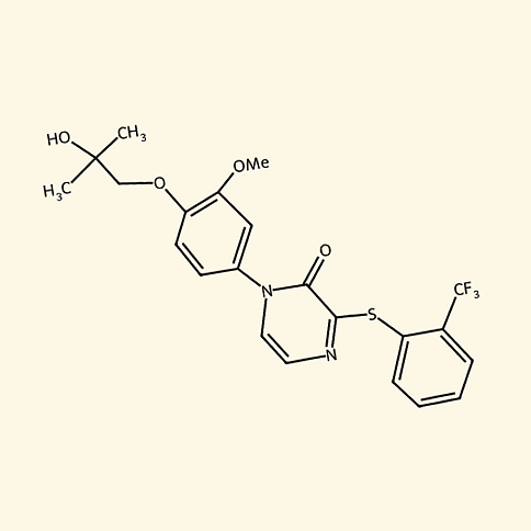 COc1cc(-n2ccnc(Sc3ccccc3C(F)(F)F)c2=O)ccc1OCC(C)(C)O